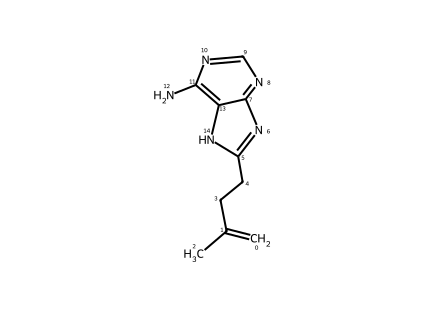 C=C(C)CCc1nc2ncnc(N)c2[nH]1